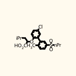 CCCS(=O)(=O)c1ccc(C)c(-c2cc(Cl)ccc2OC(CC(C)C)C(=O)O)c1